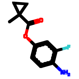 CC1(C(=O)Oc2ccc(N)c(F)c2)CC1